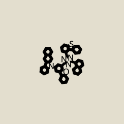 c1ccc2cc3c(cc2c1)c1ccccc1n3-c1cc(-c2nc(-c3cccc4ccccc34)nc(-c3cccc4sc5ccccc5c34)n2)c2oc3ccccc3c2c1